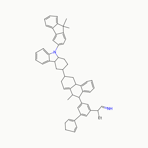 CCC(C=N)c1cc(C2=CCCC=C2)cc(C2c3ccccc3C3CC(C4CCC5C(C4)c4ccccc4N5c4ccc5c(c4)-c4ccccc4C5(C)C)CC=C3C2C)c1